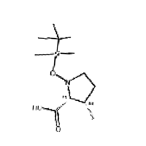 C[C@H]1CCN(O[Si](C)(C)C(C)(C)C)[C@H]1C(=O)O